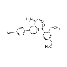 CCc1ccc(C(=O)N2CCC(c3ccc(C#N)cc3)CC2)c(CC)c1.NNC=O